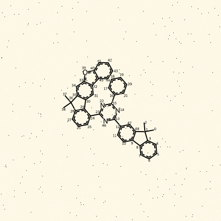 CC1(C)c2ccccc2-c2ccc(-c3nc(-c4ccccc4)nc(-c4cccc5c4-c4cc6c(cc4C5(C)C)oc4ccccc46)n3)cc21